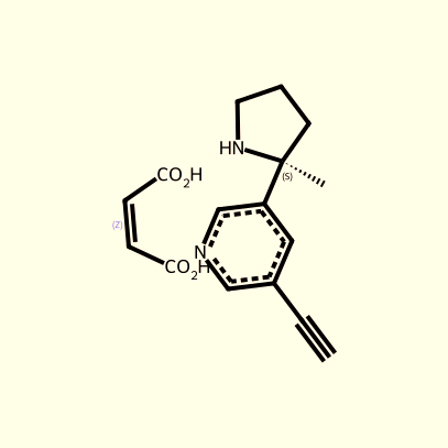 C#Cc1cncc([C@]2(C)CCCN2)c1.O=C(O)/C=C\C(=O)O